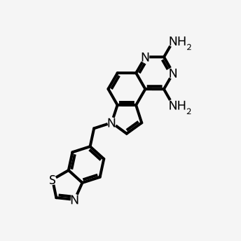 Nc1nc(N)c2c(ccc3c2ccn3Cc2ccc3ncsc3c2)n1